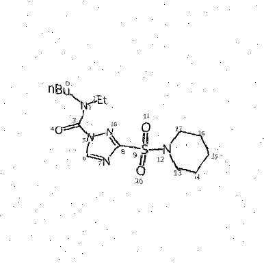 CCCCN(CC)C(=O)n1cnc(S(=O)(=O)N2CCCCC2)n1